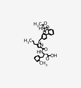 CCCc1cc(C(=O)N[C@@H](CC(=O)O)Cc2ccccc2C)nn1Cc1ccc(-c2ccccc2S(=O)(=O)NC(C)=O)cc1